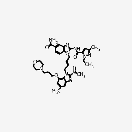 CCn1nc(C)cc1C(=O)Nc1nc2cc(C(N)=O)ccc2n1C/C=C/Cn1c(NC)nc2cc(C)cc(OCCCN3CCOCC3)c21